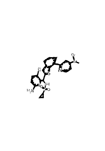 C[S+]([O-])c1ccnc(-c2cccc3cc(C(NS(=O)(=O)C4CC4)c4nc(N)ccc4Cl)sc23)c1